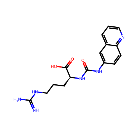 N=C(N)NCCC[C@H](NC(=O)Nc1ccc2ncccc2c1)C(=O)O